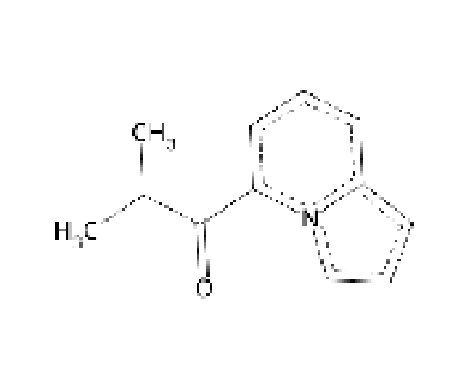 CC(C)C(=O)c1cccc2cccn12